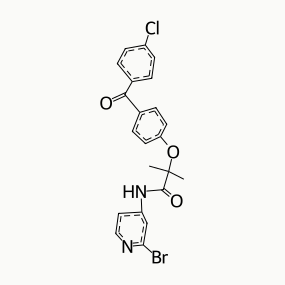 CC(C)(Oc1ccc(C(=O)c2ccc(Cl)cc2)cc1)C(=O)Nc1ccnc(Br)c1